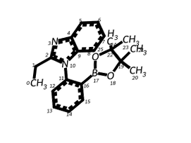 CCc1nc2ccccc2n1-c1ccccc1B1OC(C)(C)C(C)(C)O1